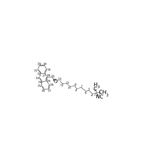 [C-]#[N+]C(C)(C)CCCCCCCCCCOCc1c2ccccc2cc2ccccc12